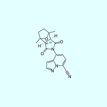 CC12CCC(C)(O1)[C@H]1C(=O)N(c3ccc(C#N)n4nccc34)C(=O)[C@H]12